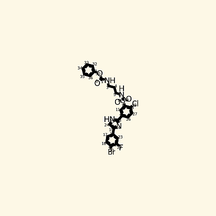 O=C(NCCCNS(=O)(=O)c1cc(-c2nc(-c3ccc(Br)c(F)c3)c[nH]2)ccc1Cl)Oc1ccccc1